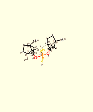 CC1(C)[C@@H]2CC[C@]1(C)[C@H](OP(=S)(S)O[C@@H]1C[C@H]3CC[C@@]1(C)C3(C)C)C2